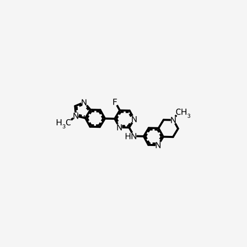 CN1CCc2ncc(Nc3ncc(F)c(-c4ccc5c(c4)ncn5C)n3)cc2C1